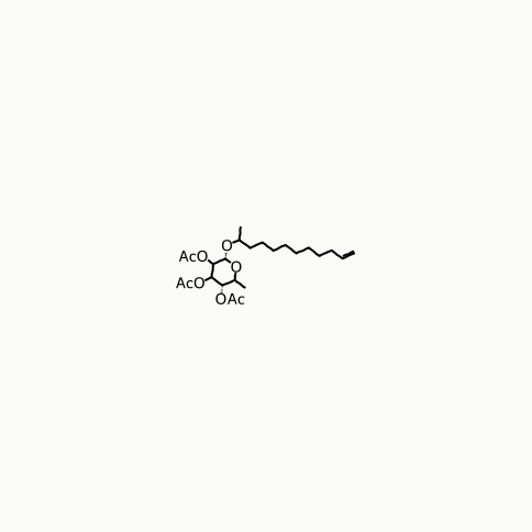 C=CCCCCCCCCC(C)O[C@@H]1OC(C)[C@H](OC(C)=O)C(OC(C)=O)C1OC(C)=O